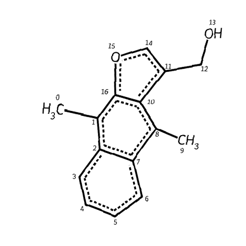 Cc1c2ccccc2c(C)c2c(CO)coc12